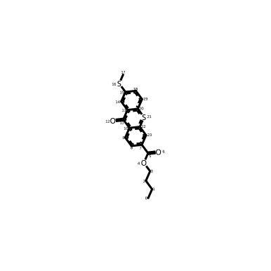 CCCCOC(=O)c1ccc2c(=O)c3cc(SC)ccc3sc2c1